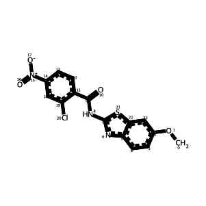 COc1ccc2nc(NC(=O)c3ccc([N+](=O)[O-])cc3Cl)sc2c1